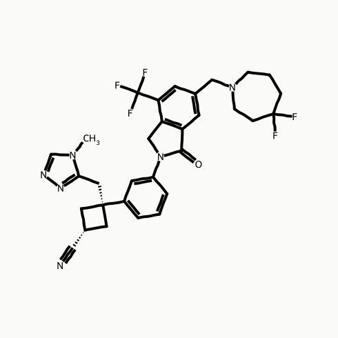 Cn1cnnc1C[C@]1(c2cccc(N3Cc4c(cc(CN5CCCC(F)(F)CC5)cc4C(F)(F)F)C3=O)c2)C[C@H](C#N)C1